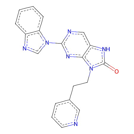 O=c1[nH]c2cnc(-n3cnc4ccccc43)nc2n1CCc1cccnc1